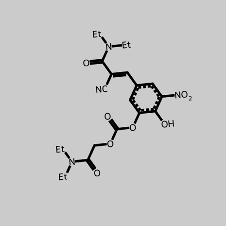 CCN(CC)C(=O)COC(=O)Oc1cc(/C=C(\C#N)C(=O)N(CC)CC)cc([N+](=O)[O-])c1O